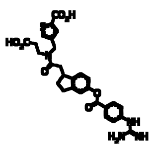 N=C(N)Nc1ccc(C(=O)Oc2ccc3c(c2)CCC3CC(=O)N(CCC(=O)O)Cc2csc(C(=O)O)c2)cc1